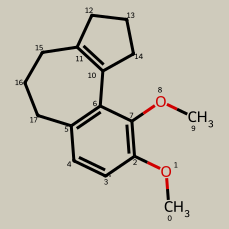 COc1[c]cc2c(c1OC)C1=C(CCC1)CCC2